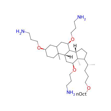 CCCCCCCCOCCC[C@@H](C)C1CC[C@H]2C3[C@H](OCCCN)CC4C[C@H](OCCCN)CCC4(C)[C@H]3C[C@H](OCCCN)[C@]12C